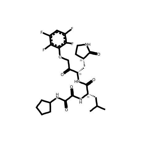 CC(C)C[C@H](NC(=O)C(=O)NC1CCCC1)C(=O)N[C@@H](C[C@@H]1CCNC1=O)C(=O)COc1c(F)c(F)cc(F)c1F